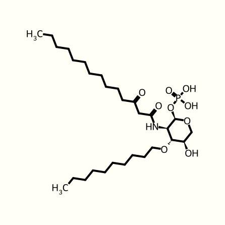 CCCCCCCCCCCC(=O)CC(=O)N[C@H]1[C@@H](OP(=O)(O)O)OC[C@@H](O)[C@@H]1OCCCCCCCCCC